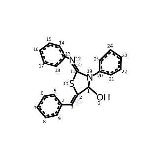 OC1/C(=C/c2ccccc2)S/C(=N\c2ccccc2)N1c1ccccc1